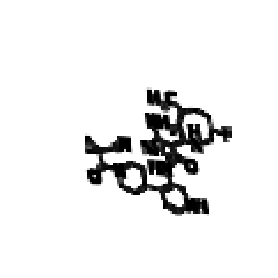 CC1CCC(F)CNC(C(C(=O)NC2=C(C3CCN(C(=O)C4(C#N)CC4)CC3)C=CNC2)C(N)N)C1